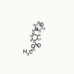 CCOC(=O)c1ccc(CN2CCOCC2)cc1